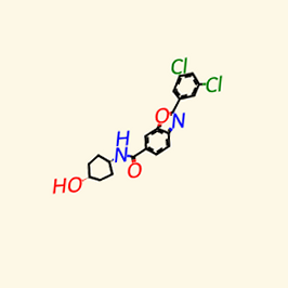 O=C(N[C@H]1CC[C@@H](O)CC1)c1ccc2nc(-c3cc(Cl)cc(Cl)c3)oc2c1